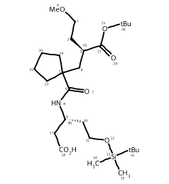 COCC[C@H](CC1(C(=O)N[C@H](CCO[Si](C)(C)C(C)(C)C)CC(=O)O)CCCC1)C(=O)OC(C)(C)C